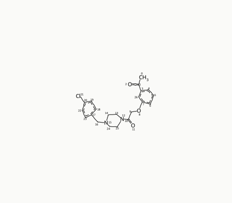 CC(=O)c1cccc(OCC(=O)N2CCN(Cc3ccc(Cl)cc3)CC2)c1